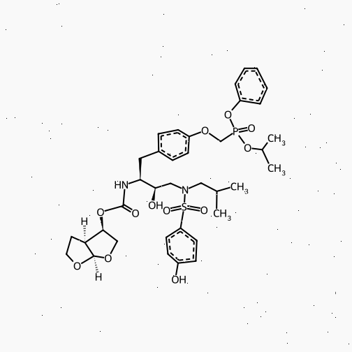 CC(C)CN(C[C@@H](O)[C@H](Cc1ccc(OCP(=O)(Oc2ccccc2)OC(C)C)cc1)NC(=O)O[C@H]1CO[C@H]2OCC[C@H]21)S(=O)(=O)c1ccc(O)cc1